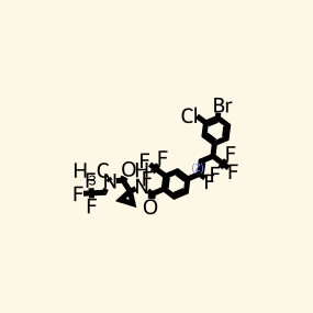 CN(CC(F)(F)F)C(=O)C1(NC(=O)c2ccc(/C(F)=C/C(c3ccc(Br)c(Cl)c3)C(F)(F)F)cc2C(F)(F)F)CC1